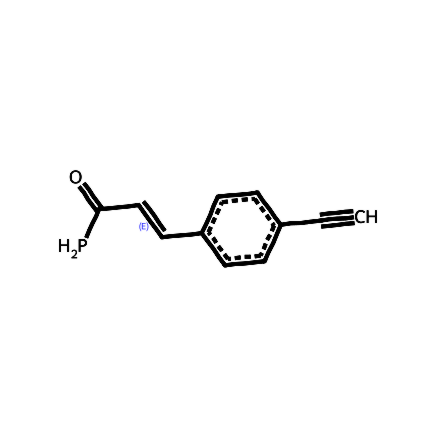 C#Cc1ccc(/C=C/C(=O)P)cc1